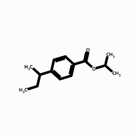 CCC(C)c1ccc(C(=O)OC(C)C)cc1